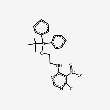 CC(C)(C)[Si](OCCNc1ncnc(Cl)c1[N+](=O)[O-])(c1ccccc1)c1ccccc1